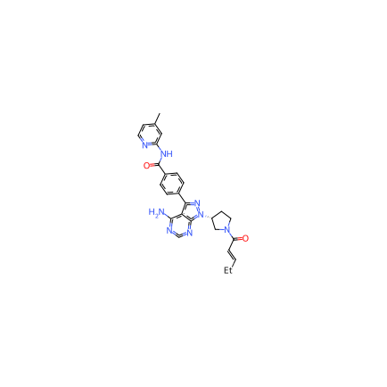 CCC=CC(=O)N1CC[C@@H](n2nc(-c3ccc(C(=O)Nc4cc(C)ccn4)cc3)c3c(N)ncnc32)C1